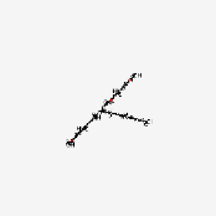 O=C(O)CCOCCOCCOCCNC(=O)CCCCCCCNC(=O)CCOC=C(COCCC(=O)NCCCCCCCC(=O)NCCOCCOCCOCCC(=O)O)COCCC(=O)NCCCCCCCC(=O)NCCOCCOCCOCCC(=O)O